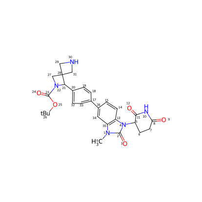 Cn1c(=O)n(C2CCC(=O)NC2=O)c2ccc(-c3ccc(C4N(C(=O)OC(C)(C)C)CC45CNC5)cc3)cc21